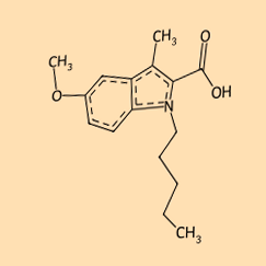 CCCCCn1c(C(=O)O)c(C)c2cc(OC)ccc21